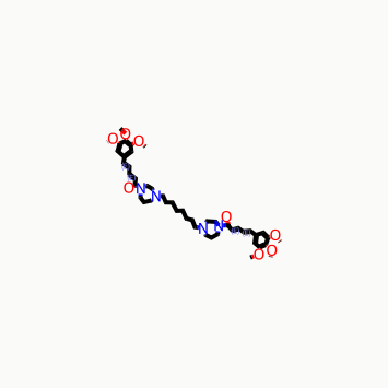 COc1cc(/C=C/C=C/C(=O)N2CCCN(CCCCCCCCN3CCCN(C(=O)/C=C/C=C/c4cc(OC)c(OC)c(OC)c4)CC3)CC2)cc(OC)c1OC